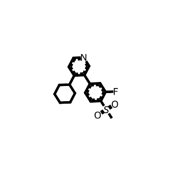 CS(=O)(=O)c1ccc(-c2cnccc2C2CCCCC2)cc1F